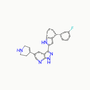 Fc1cccc(-c2cccc3[nH]c(-c4n[nH]c5ncc(C6=CCNCC6)cc45)cc23)c1